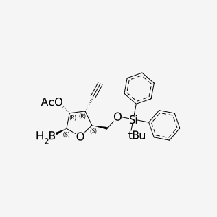 B[C@@H]1O[C@H](CO[Si](c2ccccc2)(c2ccccc2)C(C)(C)C)[C@@H](C#C)[C@H]1OC(C)=O